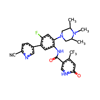 CC1CN(c2cc(F)c(-c3ccc(C#N)nc3)cc2NC(=O)c2c[nH]c(=O)cc2C(F)(F)F)CC(C)N1C